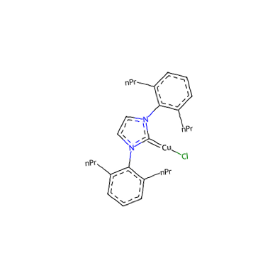 CCCc1cccc(CCC)c1-n1ccn(-c2c(CCC)cccc2CCC)[c]1=[Cu][Cl]